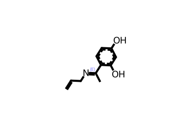 C=CC/N=C(\C)c1ccc(O)cc1O